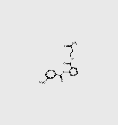 COc1cccc(C(=O)Sc2ccccc2C(=O)NCCC(N)=O)c1